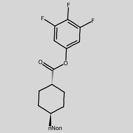 CCCCCCCCC[C@H]1CC[C@H](C(=O)Oc2cc(F)c(F)c(F)c2)CC1